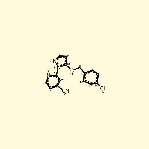 N#Cc1ccnc(-n2nccc2OCc2ccc(Cl)cc2)c1